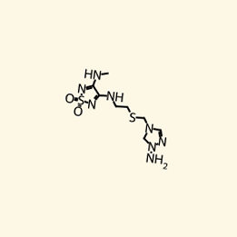 CNC1=NS(=O)(=O)N=C1NCCSCN1C=NN(N)C1